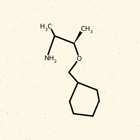 CC(N)[C@@H](C)OCC1CCCCC1